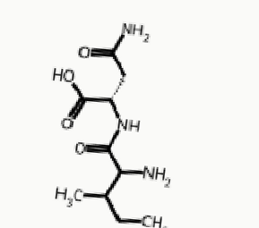 CCC(C)C(N)C(=O)N[C@@H](CC(N)=O)C(=O)O